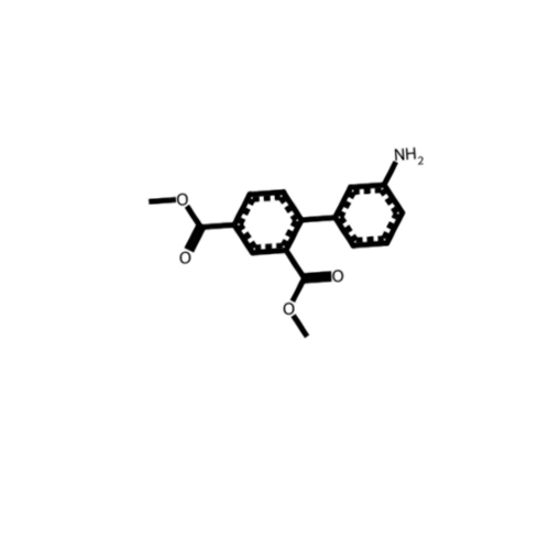 COC(=O)c1ccc(-c2cccc(N)c2)c(C(=O)OC)c1